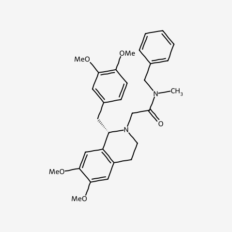 COc1ccc(C[C@H]2c3cc(OC)c(OC)cc3CCN2CC(=O)N(C)Cc2ccccc2)cc1OC